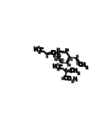 C=C(C)C(=O)O.C=CC.C=Cc1ccccc1